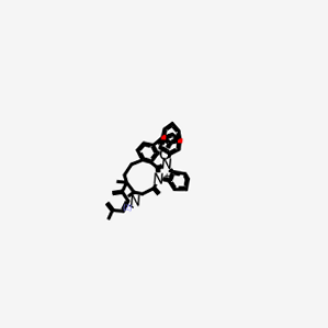 C=NC1(C)CC(=C)[n+]2c(n(-c3ccccc3)c3ccccc32)-c2c(ccc3c2oc2ccccc23)CCC1(C)C(=C)/C=C\C(=C)C